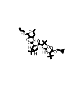 C=CCNC(=O)C(=O)C(CCC)NC(=O)[C@@H]1[C@@H]2[C@H](CN1C(=O)[C@@H](NC(=O)N[C@H](C(=O)OCC1CC1)C(C)(C)C)C(C)(C)C)C2(C)C